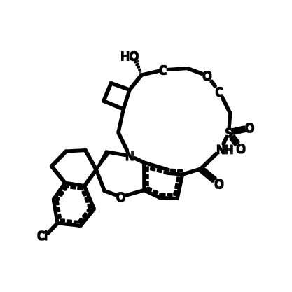 O=C1NS(=O)(=O)CCOCC[C@@H](O)C2CCC2CN2C[C@@]3(CCCc4cc(Cl)ccc43)COc3ccc1cc32